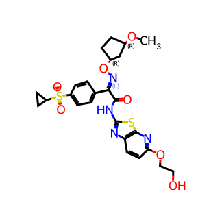 CO[C@@H]1CC[C@@H](O/N=C(/C(=O)Nc2nc3ccc(OCCO)nc3s2)c2ccc(S(=O)(=O)C3CC3)cc2)C1